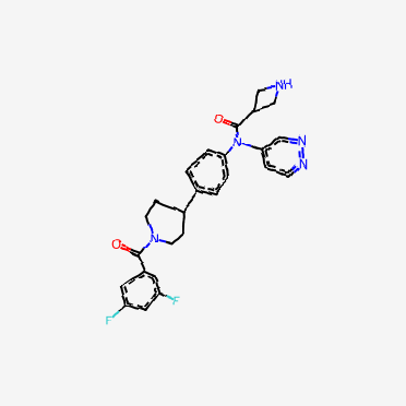 O=C(c1cc(F)cc(F)c1)N1CCC(c2ccc(N(C(=O)C3CNC3)c3ccnnc3)cc2)CC1